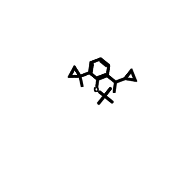 CC(c1cccc(C2(C)CC2)c1OC(C)(C)C)C1CC1